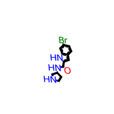 O=C(N[C@@H]1CCNC1)c1cc2ccc(Br)cc2[nH]1